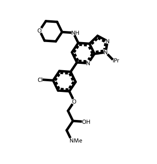 CNCC(O)COc1cc(Cl)cc(-c2cc(NC3CCOCC3)c3cnn(C(C)C)c3n2)c1